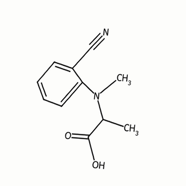 CC(C(=O)O)N(C)c1ccccc1C#N